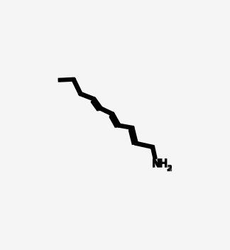 CCC/C=C/C=C/C=C/CN